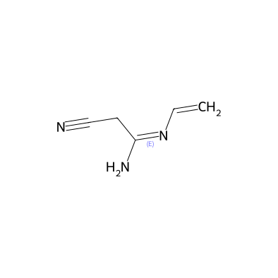 C=C/N=C(/N)CC#N